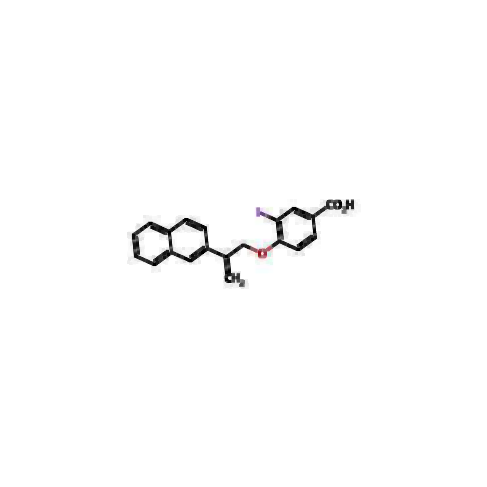 C=C(COc1ccc(C(=O)O)cc1I)c1ccc2ccccc2c1